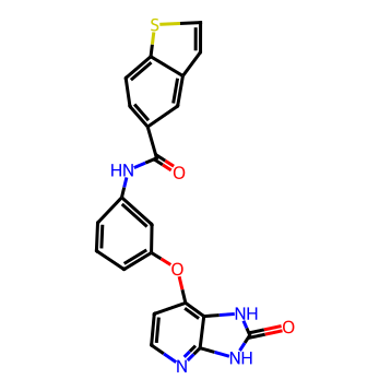 O=C(Nc1cccc(Oc2ccnc3[nH]c(=O)[nH]c23)c1)c1ccc2sccc2c1